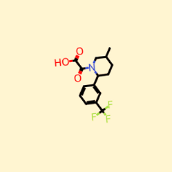 CC1CCC(c2cccc(C(F)(F)F)c2)N(C(=O)C(=O)O)C1